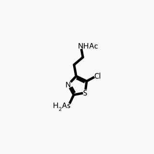 CC(=O)NCCc1nc([AsH2])sc1Cl